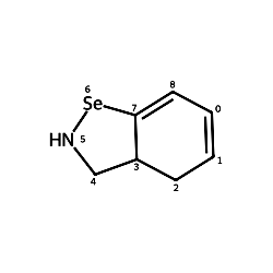 C1=CCC2CN[Se]C2=C1